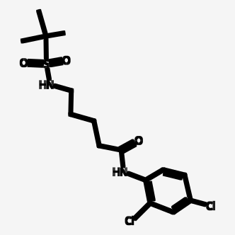 CC(C)(C)S(=O)(=O)NCCCCC(=O)Nc1ccc(Cl)cc1Cl